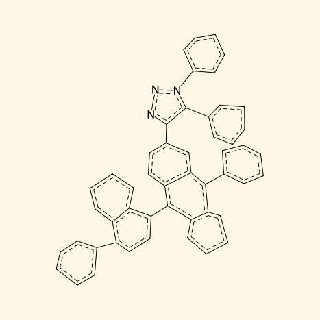 c1ccc(-c2ccc(-c3c4ccccc4c(-c4ccccc4)c4cc(-c5nnn(-c6ccccc6)c5-c5ccccc5)ccc34)c3ccccc23)cc1